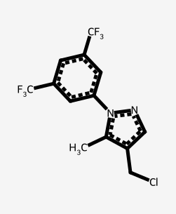 Cc1c(CCl)cnn1-c1cc(C(F)(F)F)cc(C(F)(F)F)c1